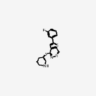 Fc1cccc(-c2cc3c(SC4CCCNC4)nncc3s2)c1